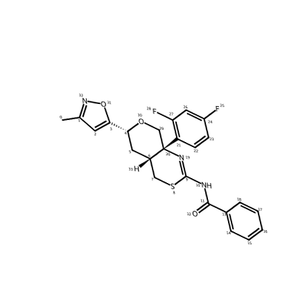 Cc1cc([C@H]2C[C@H]3CSC(NC(=O)c4ccccc4)=N[C@@]3(c3ccc(F)cc3F)CO2)on1